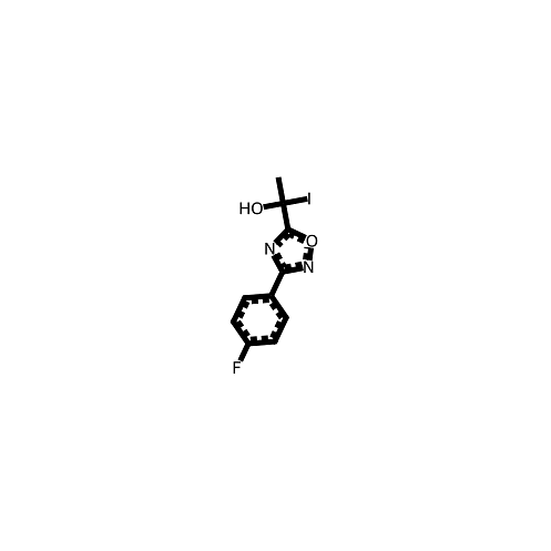 CC(O)(I)c1nc(-c2ccc(F)cc2)no1